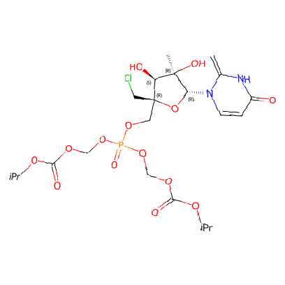 C=C1NC(=O)C=CN1[C@@H]1O[C@](CCl)(COP(=O)(OCOC(=O)OC(C)C)OCOC(=O)OC(C)C)[C@@H](O)[C@@]1(C)O